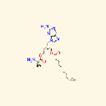 CCCCCCCCCCCCCCCCCC(=O)OC[C@H](CCOC(=O)[C@@H](N)C(C)C)Cn1cnc2cnc(N)nc21